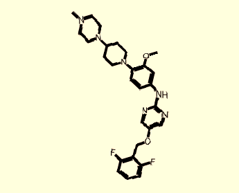 COc1cc(Nc2ncc(OCc3c(F)cccc3F)cn2)ccc1N1CCC(N2CCN(C)CC2)CC1